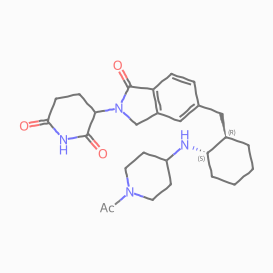 CC(=O)N1CCC(N[C@H]2CCCC[C@@H]2Cc2ccc3c(c2)CN(C2CCC(=O)NC2=O)C3=O)CC1